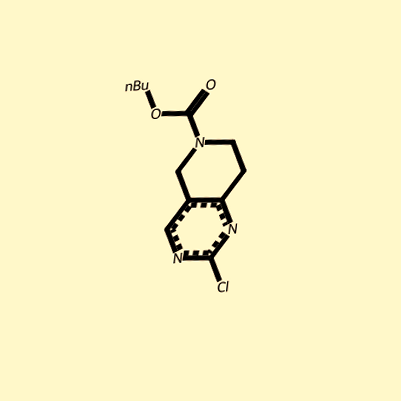 CCCCOC(=O)N1CCc2nc(Cl)ncc2C1